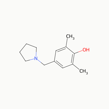 Cc1cc(CN2CCCC2)cc(C)c1O